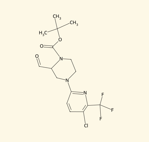 CC(C)(C)OC(=O)N1CCN(c2ccc(Cl)c(C(F)(F)F)n2)CC1C=O